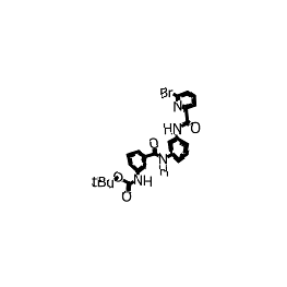 CC(C)(C)OC(=O)Nc1cccc(C(=O)Nc2cccc(NC(=O)c3cccc(Br)n3)c2)c1